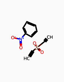 C#CS(=O)(=O)C#C.O=[N+]([O-])c1ccccc1